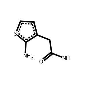 [NH]C(=O)Cc1ccsc1N